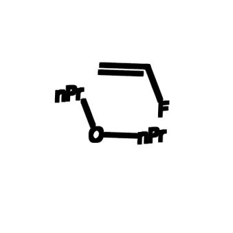 C=CF.CCCOCCC